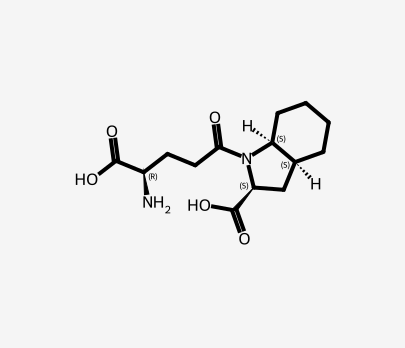 N[C@H](CCC(=O)N1[C@H](C(=O)O)C[C@@H]2CCCC[C@@H]21)C(=O)O